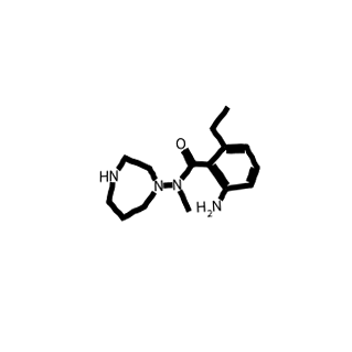 CCc1cccc(N)c1C(=O)N(C)N1CCCNCC1